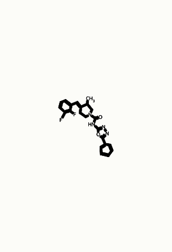 CC1CN(C(=O)Nc2nnc(-c3ccccc3)o2)CC/C1=C\c1cccc(F)c1F